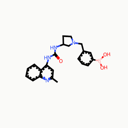 Cc1cc(NC(=O)NC2CCN(Cc3cccc(B(O)O)c3)C2)c2ccccc2n1